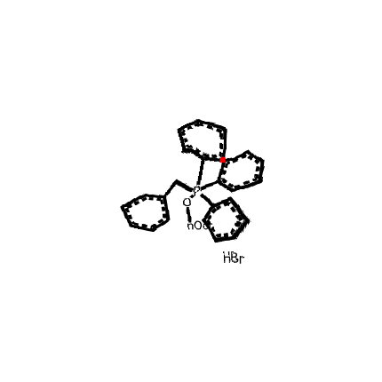 Br.CCCCCCCCOP(Cc1ccccc1)(c1ccccc1)(c1ccccc1)c1ccccc1